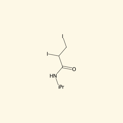 CC(C)NC(=O)C(I)CI